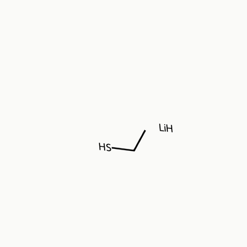 CCS.[LiH]